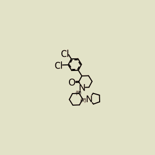 O=C1C(c2ccc(Cl)c(Cl)c2)CCCN1[C@@H]1CCCC[C@H]1N1CCCC1